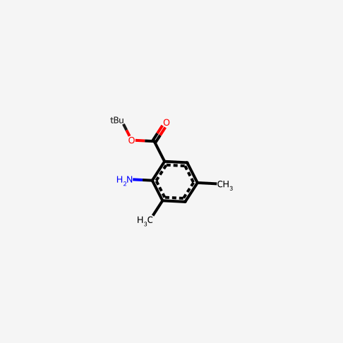 Cc1cc(C)c(N)c(C(=O)OC(C)(C)C)c1